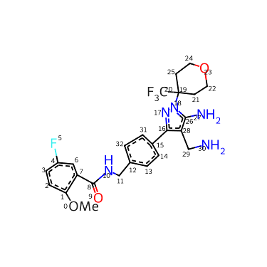 COc1ccc(F)cc1C(=O)NCc1ccc(-c2nn(C3(C(F)(F)F)CCOCC3)c(N)c2CN)cc1